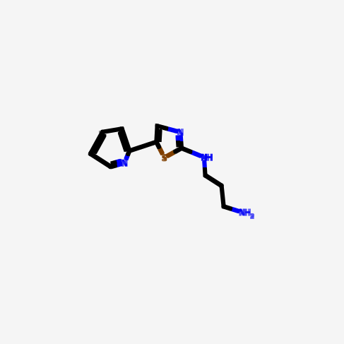 NCCCNc1ncc(-c2c[c]ccn2)s1